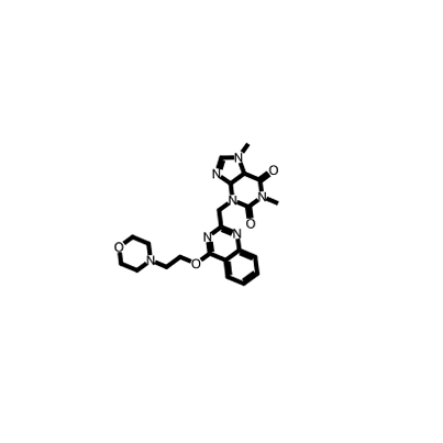 CN1C(=O)C2C(N=CN2C)N(Cc2nc(OCCN3CCOCC3)c3ccccc3n2)C1=O